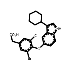 O=C(O)Cc1cc(Cl)c(Oc2ccc3[nH]cc(C4CCCCC4)c3c2)c(Br)c1